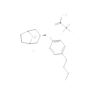 CCCCc1ccc(O[C@H]2C[C@H]3CC[C@@H](C2)N3)cc1.O=C(O)C(F)(F)F